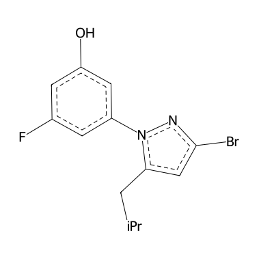 CC(C)Cc1cc(Br)nn1-c1cc(O)cc(F)c1